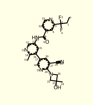 CCC(F)(F)c1cc(C(=O)Nc2cnc(C)c(-c3cnc(N4CC(C)(O)C4)c(C#N)c3)c2)ccn1